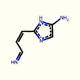 N=C/C=C\c1ncc(N)[nH]1